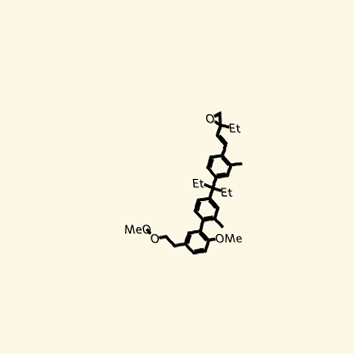 CCC1(/C=C/c2ccc(C(CC)(CC)c3ccc(-c4cc(CCOOC)ccc4OC)c(C)c3)cc2C)CO1